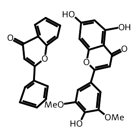 COc1cc(-c2cc(=O)c3c(O)cc(O)cc3o2)cc(OC)c1O.O=c1cc(-c2ccccc2)oc2ccccc12